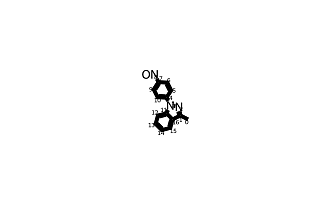 Cc1nn(-c2ccc(N=O)cc2)c2ccccc12